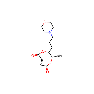 CCCC1OC(=O)/C=C/C(=O)OC1CCCN1CCOCC1